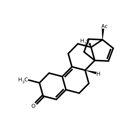 CC(=O)[C@]12C=CC3(CC1)[C@@H]1CCC4=CC(=O)C(C)CC4=C1CC[C@@]32C